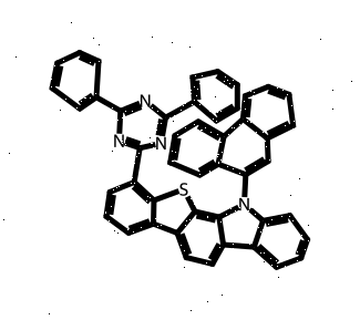 c1ccc(-c2nc(-c3ccccc3)nc(-c3cccc4c3sc3c4ccc4c5ccccc5n(-c5cc6ccccc6c6ccccc56)c43)n2)cc1